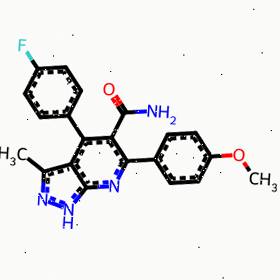 COc1ccc(-c2nc3[nH]nc(C)c3c(-c3ccc(F)cc3)c2C(N)=O)cc1